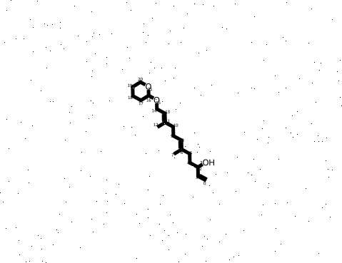 C=CC(O)CC/C(C)=C/CC/C(C)=C/COC1CCCCO1